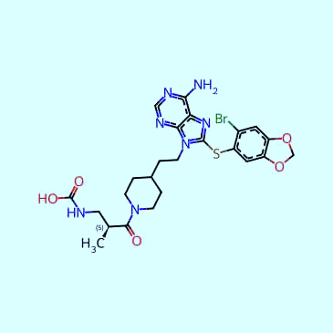 C[C@@H](CNC(=O)O)C(=O)N1CCC(CCn2c(Sc3cc4c(cc3Br)OCO4)nc3c(N)ncnc32)CC1